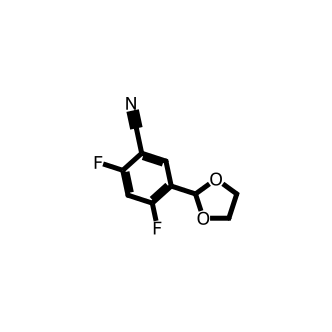 N#Cc1cc(C2OCCO2)c(F)cc1F